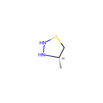 C[C@H]1CSNN1